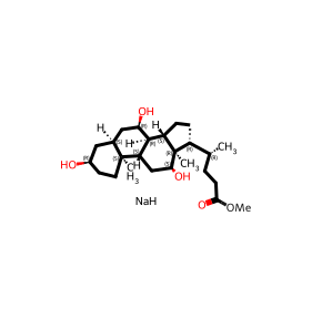 COC(=O)CC[C@@H](C)[C@H]1CC[C@H]2[C@@H]3[C@H](O)C[C@@H]4C[C@H](O)CC[C@]4(C)[C@H]3C[C@H](O)[C@]12C.[NaH]